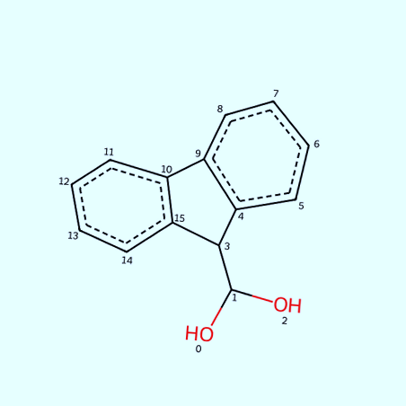 OC(O)C1c2ccccc2-c2ccccc21